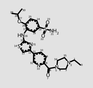 CCN1CCN(C(=O)c2ccc(-c3csc(Nc4cc(S(N)(=O)=O)ccc4OC(C)C)n3)cn2)CC1